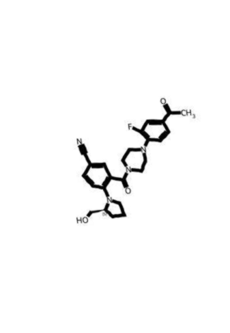 CC(=O)c1ccc(N2CCN(C(=O)c3cc(C#N)ccc3N3CCC[C@H]3CO)CC2)c(F)c1